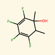 CC1C(F)=C(F)C(F)=C(F)C1(C)O